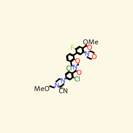 COCCN1CCN(c2cc(Cl)c(C(=O)N3COc4c(cccc4-c4cc(N5CCOCC5)c(C(=O)OC)cc4F)C3)c(Cl)c2)C[C@@H]1C#N